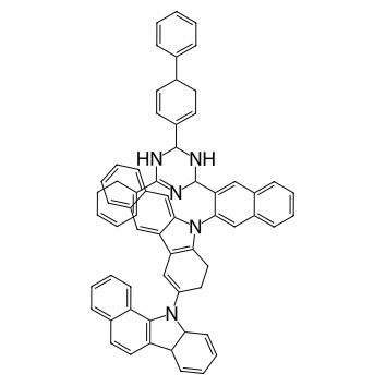 C1=CCCC(C2=NC(c3cc4ccccc4cc3-n3c4c(c5cc6ccccc6cc53)C=C(N3c5c(ccc6ccccc56)C5C=CC=CC53)CC4)NC(C3=CCC(c4ccccc4)C=C3)N2)=C1